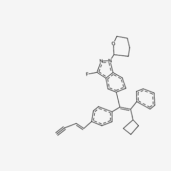 C#CC=Cc1ccc(C(=C(c2ccccc2)C2CCC2)c2ccc3c(c2)c(F)nn3C2CCCCO2)cc1